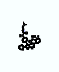 CN(C)C/C=C/C(=O)Nc1ccc(-c2c(-c3ccccc3)oc3ncnc(N[C@H](C(=O)O)c4ccccc4)c23)cc1